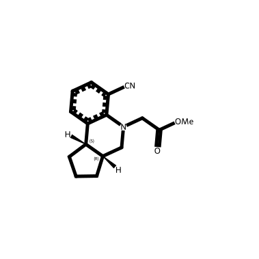 COC(=O)CN1C[C@@H]2CCC[C@@H]2c2cccc(C#N)c21